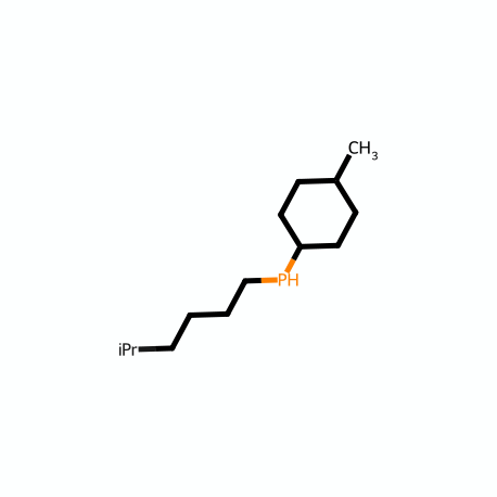 CC(C)CCCCPC1CCC(C)CC1